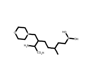 CC(CCB(O)O)CCC(CN1CCOCC1)C(N)C(=O)O